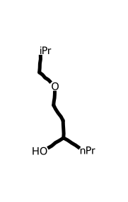 CCCC(O)CCOCC(C)C